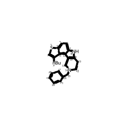 CCCCc1csc2ccc3[nH]c4c(c3c12)CN(Cc1ccccc1)CC4